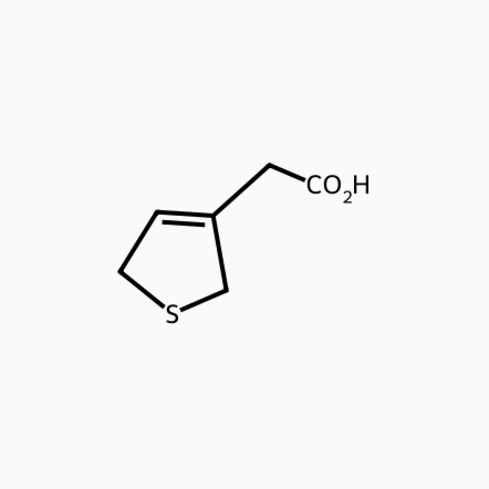 O=C(O)CC1=CCSC1